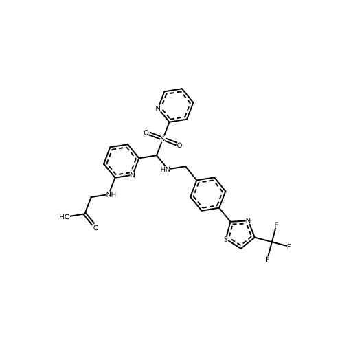 O=C(O)CNc1cccc(C(NCc2ccc(-c3nc(C(F)(F)F)cs3)cc2)S(=O)(=O)c2ccccn2)n1